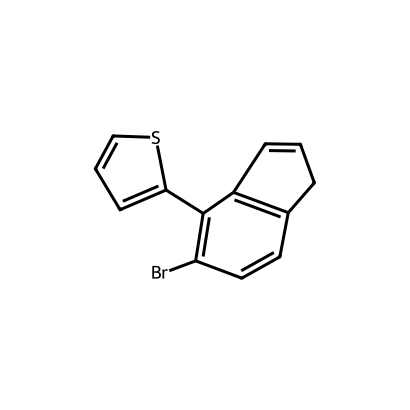 Brc1ccc2c(c1-c1cccs1)C=CC2